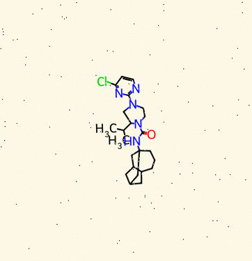 CC(C)C1CN(c2nccc(Cl)n2)CCN1C(=O)NC12CCCC3CC(CC3C1)C2